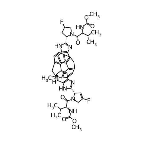 COC(=O)N[C@H](C(=O)N1CC(F)=C[C@H]1c1nc2cc(-c3cc4ccc3C[C@@H](C)c3ccc(c(-c5ccc6[nH]c([C@@H]7C[C@@H](F)CN7C(=O)[C@@H](NC(=O)OC)C(C)C)nc6c5)c3)CC4)ccc2[nH]1)C(C)C